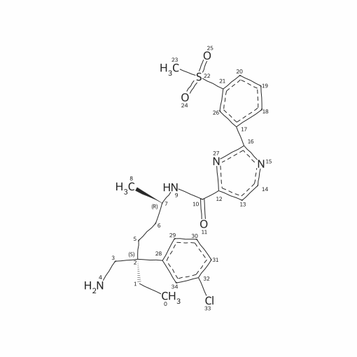 CC[C@](CN)(CC[C@@H](C)NC(=O)c1ccnc(-c2cccc(S(C)(=O)=O)c2)n1)c1cccc(Cl)c1